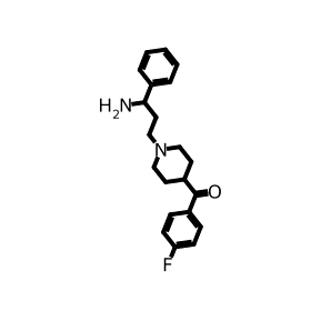 NC(CCN1CCC(C(=O)c2ccc(F)cc2)CC1)c1ccccc1